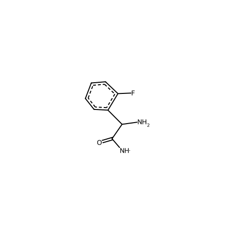 [NH]C(=O)C(N)c1ccccc1F